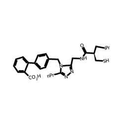 CCCc1nnc(CNC(=O)[C@H](CS)CC(C)C)n1Cc1ccc(-c2ccccc2C(=O)O)cc1